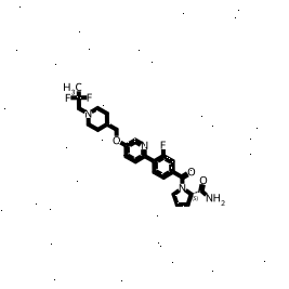 CC(F)(F)CN1CCC(COc2ccc(-c3ccc(C(=O)N4CCC[C@H]4C(N)=O)cc3F)nc2)CC1